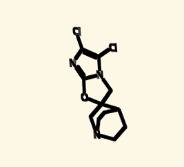 Clc1nc2n(c1Cl)CC1(CN3CCC1CC3)O2